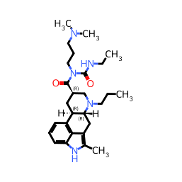 CCCN1C[C@H](C(=O)N(CCCN(C)C)C(=O)NCC)C[C@@H]2c3cccc4[nH]c(C)c(c34)C[C@H]21